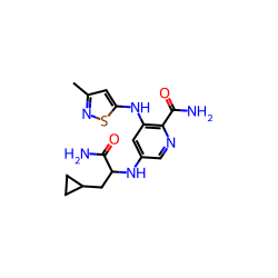 Cc1cc(Nc2cc(NC(CC3CC3)C(N)=O)cnc2C(N)=O)sn1